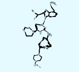 COc1cccc2c1nc(C(F)F)n2N1C=C(N2CCOCC2)NC(Nc2ccc(N3CCN(C)CC3)nc2)=N1